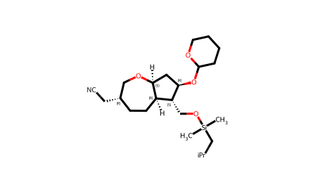 CC(C)C[Si](C)(C)OC[C@@H]1[C@H]2CC[C@H](CC#N)CO[C@H]2C[C@H]1OC1CCCCO1